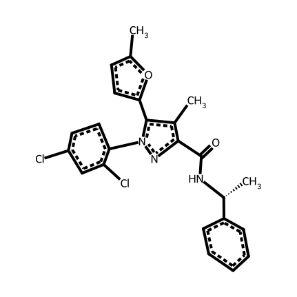 Cc1ccc(-c2c(C)c(C(=O)N[C@H](C)c3ccccc3)nn2-c2ccc(Cl)cc2Cl)o1